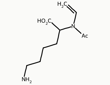 C=CN(C(C)=O)C(CCCCN)C(=O)O